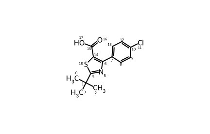 CC(C)(C)c1nc(-c2ccc(Cl)cc2)c(C(=O)O)s1